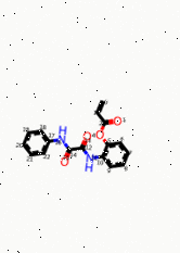 C=CC(=O)Oc1ccccc1NC(=O)C(=O)Nc1ccccc1